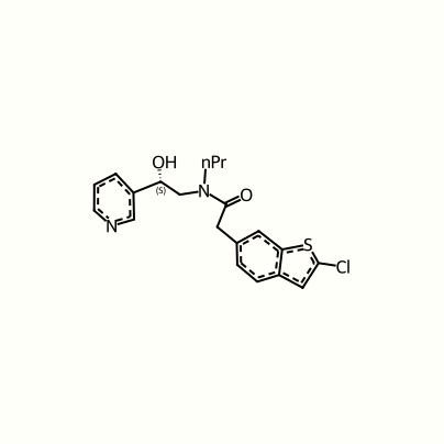 CCCN(C[C@@H](O)c1cccnc1)C(=O)Cc1ccc2cc(Cl)sc2c1